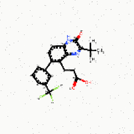 CC(C)(C)c1nc2c(CCC(=O)O)c(-c3cccc(C(F)(F)F)c3)ccc2[nH]c1=O